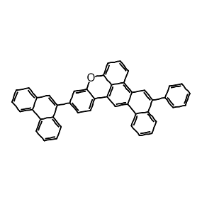 c1ccc(-c2cc3c4cccc5c4c(cc3c3ccccc23)-c2ccc(-c3cc4ccccc4c4ccccc34)cc2O5)cc1